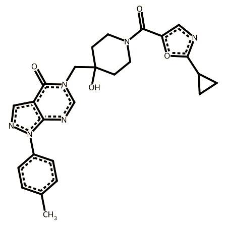 Cc1ccc(-n2ncc3c(=O)n(CC4(O)CCN(C(=O)c5cnc(C6CC6)o5)CC4)cnc32)cc1